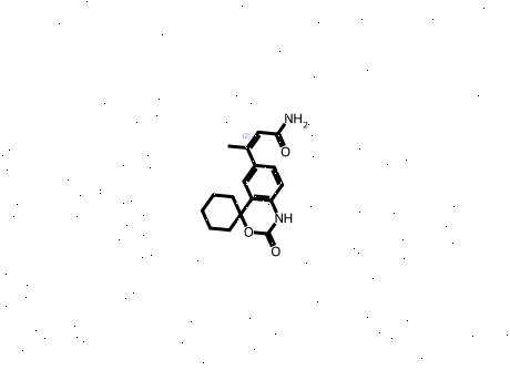 C/C(=C/C(N)=O)c1ccc2c(c1)C1(CCCCC1)OC(=O)N2